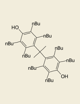 CCCCc1c(O)c(CCCC)c(CCCC)c(C(C)(C)c2c(CCCC)c(CCCC)c(O)c(CCCC)c2CCCC)c1CCCC